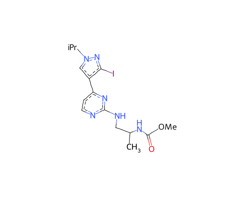 COC(=O)NC(C)CNc1nccc(-c2cn(C(C)C)nc2I)n1